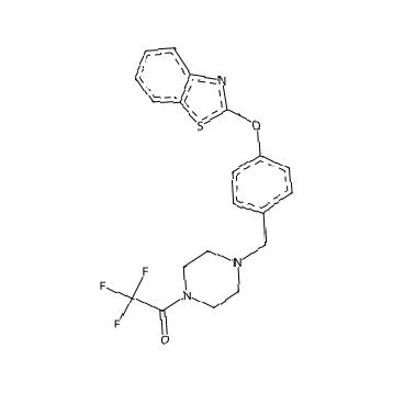 O=C(N1CCN(Cc2ccc(Oc3nc4ccccc4s3)cc2)CC1)C(F)(F)F